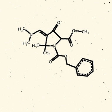 COC(=O)C1C(=O)C(=CN(C)C)C(C)(C)N1C(=O)OCc1ccccc1